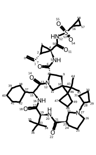 C=C[C@@H]1C[C@]1(NC(=O)[C@@H]1C[C@@]2(CN1C(=O)[C@@H](NC(=O)[C@@H](NC(=O)[C@@H]1CCCN(C3CCC3)C1)C(C)(C)C)C1CCCCC1)C(C)(C)C21CCC1)C(=O)NS(=O)(=O)C1CC1